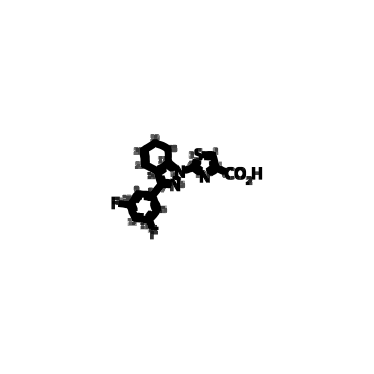 O=C(O)c1csc(-n2nc(-c3cc(F)cc(F)c3)c3c2CCC=C3)n1